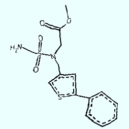 COC(=O)CN(c1csc(-c2ccccc2)c1)S(N)(=O)=O